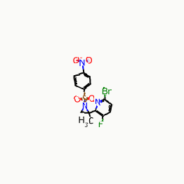 CC1(c2nc(Br)ccc2F)CN1S(=O)(=O)c1ccc([N+](=O)[O-])cc1